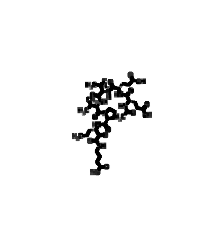 CCC[C@H](NC(=O)[C@@H]1CCCN1C(=O)[C@@H](NC(=O)[C@@H](NC(=O)[C@H](CCC(=O)O)NC(=O)[C@H](CCC(=O)O)NC(C)=O)C(C)C)C(C)C)C(=O)C(=O)NCCCC(=O)O